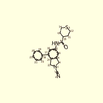 N#CN1Cc2cc(NC(=O)C3CCSCC3)cc(-c3ccccc3)c2C1